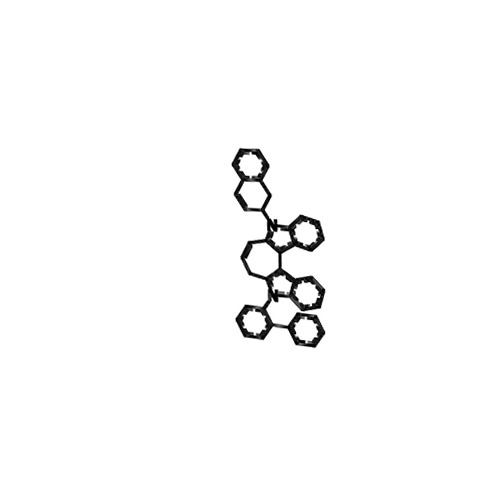 C1=Cc2c(c3ccccc3n2C2C=Cc3ccccc3C2)-c2c(n(-c3ccccc3-c3ccccc3)c3ccccc23)C1